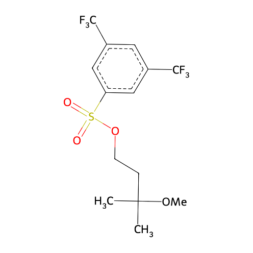 COC(C)(C)CCOS(=O)(=O)c1cc(C(F)(F)F)cc(C(F)(F)F)c1